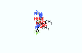 COC1C(SC2COCC(n3cc(-c4cncnc4)nn3)C2O)OC(COC(C)=O)C(OC(C)=O)C1n1cc(-c2cc(F)c(F)c(F)c2)nn1